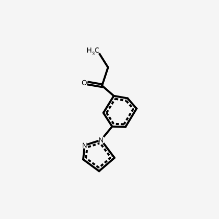 CCC(=O)c1cccc(-n2cccn2)c1